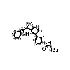 CC(C)(C)CC(=O)Nc1cncc(-c2cnc3[nH]nc(-c4cc5cnccc5[nH]4)c3c2)c1